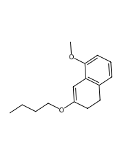 CCCCOC1=Cc2c(cccc2OC)CC1